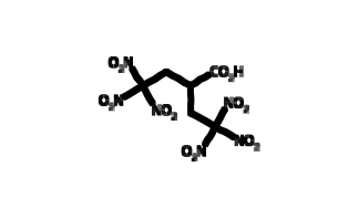 O=C(O)C(CC([N+](=O)[O-])([N+](=O)[O-])[N+](=O)[O-])CC([N+](=O)[O-])([N+](=O)[O-])[N+](=O)[O-]